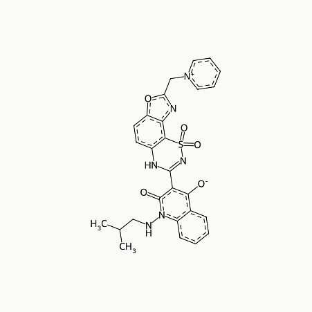 CC(C)CNn1c(=O)c(C2=NS(=O)(=O)c3c(ccc4oc(C[n+]5ccccc5)nc34)N2)c([O-])c2ccccc21